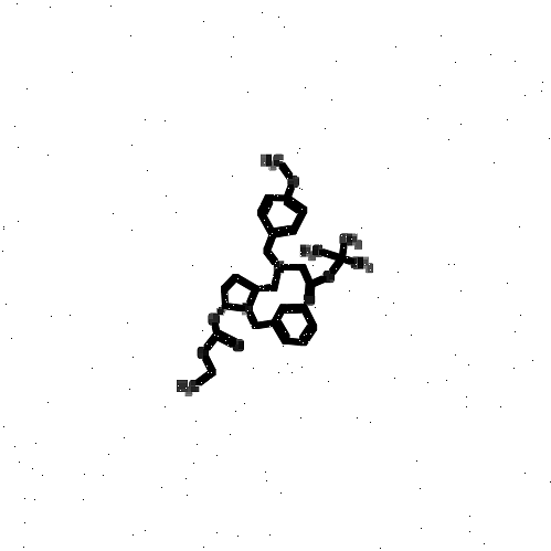 CCOC(=O)O[C@@H]1CC[C@@H](CN(CC(=O)OC(C)(C)C)Cc2ccc(OC)cc2)N1Cc1ccccc1